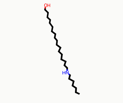 CCCCCCCNCCCCCCCCCCCCCCCCCCO